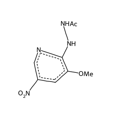 COc1cc([N+](=O)[O-])cnc1NNC(C)=O